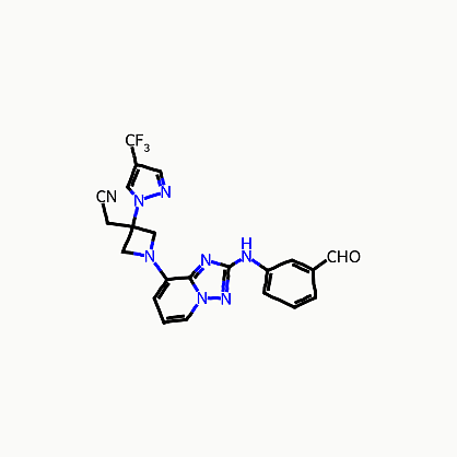 N#CCC1(n2cc(C(F)(F)F)cn2)CN(c2cccn3nc(Nc4cccc(C=O)c4)nc23)C1